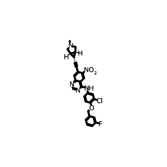 CN1C[C@@H]2[C@@H](C#Cc3cc4ncnc(Nc5ccc(OCc6cccc(F)c6)c(Cl)c5)c4cc3[N+](=O)[O-])[C@@H]2C1